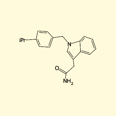 CC(C)c1ccc(Cn2cc(CC(N)=O)c3ccccc32)cc1